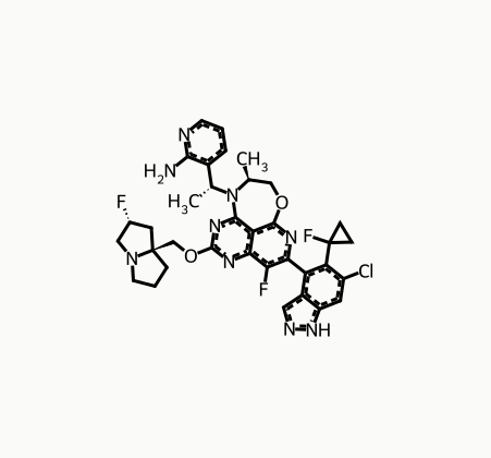 C[C@H](c1cccnc1N)N1c2nc(OC[C@@]34CCCN3C[C@H](F)C4)nc3c(F)c(-c4c(C5(F)CC5)c(Cl)cc5[nH]ncc45)nc(c23)OC[C@@H]1C